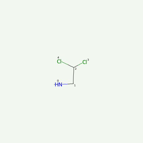 [NH]CC(Cl)Cl